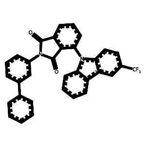 O=C1c2cccc(-n3c4ccccc4c4cc(C(F)(F)F)ccc43)c2C(=O)N1c1cccc(-c2ccccc2)c1